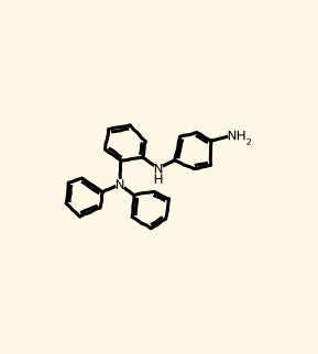 Nc1ccc(Nc2ccccc2N(c2ccccc2)c2ccccc2)cc1